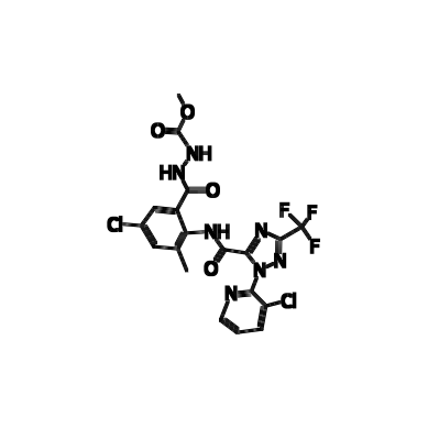 COC(=O)NNC(=O)c1cc(Cl)cc(C)c1NC(=O)c1nc(C(F)(F)F)nn1-c1ncccc1Cl